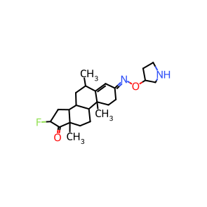 CC1CC2C3CC(F)C(=O)C3(C)CCC2C2(C)CCC(=NOC3CCNC3)C=C12